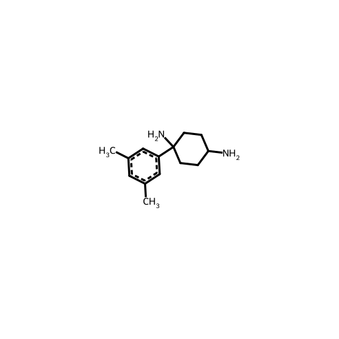 Cc1cc(C)cc(C2(N)CCC(N)CC2)c1